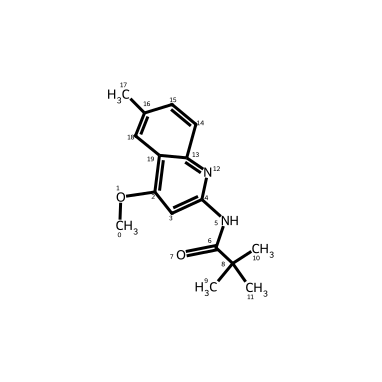 COc1cc(NC(=O)C(C)(C)C)nc2ccc(C)cc12